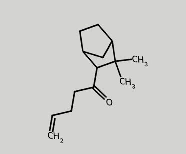 C=CCCC(=O)C1C2CCC(C2)C1(C)C